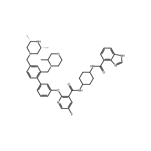 CC1COCCN1Cc1cc(CN2C[C@@H](C)N[C@@H](C)C2)ccc1-c1cccc(Oc2ncc(F)cc2C(=O)NC2CCC(NC(=O)c3cccc4[nH]cnc34)CC2)c1